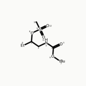 CCC(CNC(=O)OC(C)(C)C)OS(C)(=O)=O